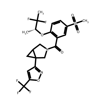 C[C@@H](Oc1ccc(S(C)(=O)=O)cc1C(=O)N1CC2CC2(c2cc(C(F)(F)F)on2)C1)C(C)(F)F